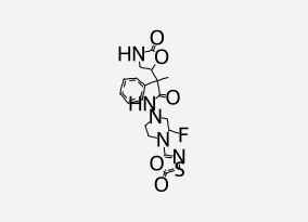 CC(C(=O)NN1CCN(c2nsc(=O)o2)C(F)C1)(c1ccccc1)C1CNC(=O)O1